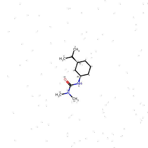 CC(C)[C@H]1CCC[C@@H](NC(=O)N(C)C)C1